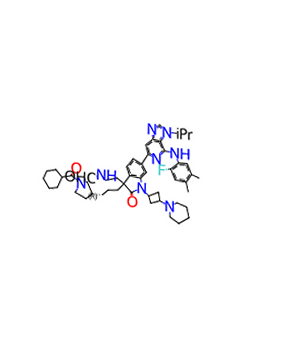 Cc1cc(F)c(Nc2nc(-c3ccc4c(c3)N(C3CC(N5CCCCC5)C3)C(=O)C4(CCC[C@@H]3CCN(C(=O)C4CCCCC4)C3)CCNC=O)cc3ncn(C(C)C)c23)cc1C